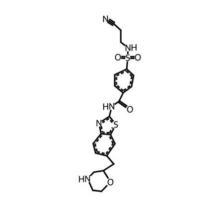 N#CCCNS(=O)(=O)c1ccc(C(=O)Nc2nc3ccc(CC4CNCCO4)cc3s2)cc1